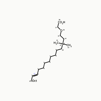 CCCCCCCC/C=C/CCCCCCCC[N+](C)(C)CCOCC(=O)O